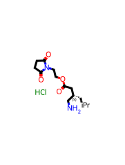 CC(C)C[C@H](CN)CC(=O)OCCN1C(=O)CCC1=O.Cl